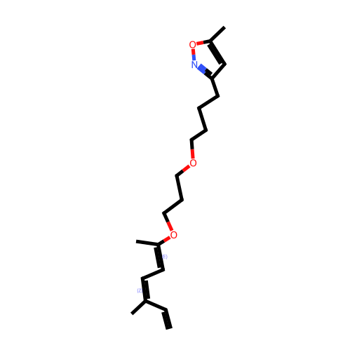 C=C/C(C)=C\C=C(/C)OCCCOCCCCc1cc(C)on1